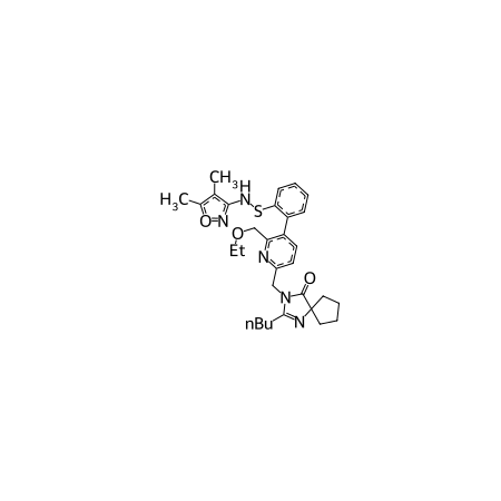 CCCCC1=NC2(CCCC2)C(=O)N1Cc1ccc(-c2ccccc2SNc2noc(C)c2C)c(COCC)n1